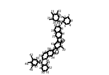 Cc1ccccc1N(c1cc(C)c(C)c(C)c1)c1ccc2cc3c(cc2c1)oc1c(C)c2oc4cc5cc(N(c6cc(C)c(C)c(C)c6)c6ccccc6C)ccc5cc4c2cc13